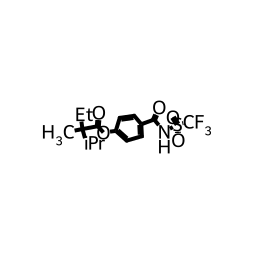 CCC(C)(C(=O)Oc1ccc(C(=O)NS(=O)(=O)C(F)(F)F)cc1)C(C)C